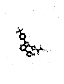 C=C(F)C(=O)N1CC(n2nc(-c3ccc(C(F)(F)F)cc3)c3nccc(-c4c[nH]cn4)c32)C1